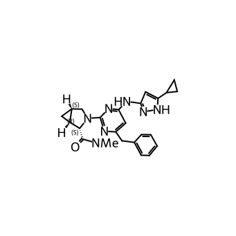 CNC(=O)[C@@H]1[C@@H]2C[C@@H]2CN1c1nc(Cc2ccccc2)cc(Nc2cc(C3CC3)[nH]n2)n1